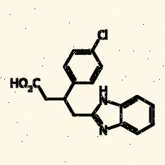 O=C(O)CC(Cc1nc2ccccc2[nH]1)c1ccc(Cl)cc1